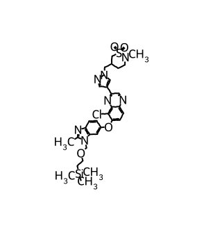 Cc1nc2ccc(Oc3ccc4ncc(-c5cnn(CC6CCN(C)S(=O)(=O)C6)c5)nc4c3Cl)cc2n1COCC[Si](C)(C)C